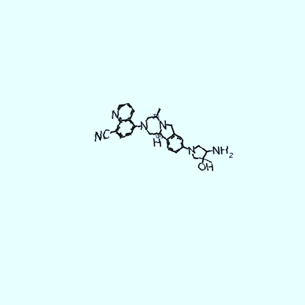 C[C@@H]1CN(c2ccc(C#N)c3ncccc23)C[C@@H]2c3ccc(N4CC(N)C(C)(O)C4)cc3CN12